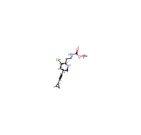 CC(C)(C)OC(=O)NCCc1ncc(C#CC2CC2)cc1Cl